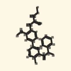 CCNC(=O)Nc1ccc(-c2cnc(C)c(NC(C)c3ccccc3)n2)cc1OC